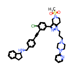 CS(=O)(=O)N1CCc2c(c(-c3ccc(Cl)c(C#Cc4ccc(CNC5CCc6ccccc65)cc4)c3)nn2CCCN2CCN(c3ccccn3)CC2)C1